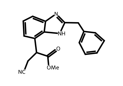 COC(=O)C(CC#N)c1cccc2nc(Cc3ccccc3)[nH]c12